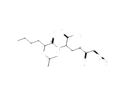 CCCCC(OC(C)C)C(=O)NC(CCC(=O)C=[N+]=[N-])C(=O)O